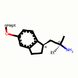 CCCCCCCOc1ccc2c(c1)CC[C@@H]2C[C@@](C)(N)CC